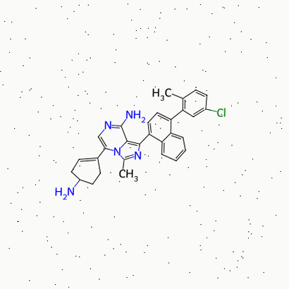 Cc1[c]cc(Cl)cc1-c1ccc(-c2nc(C)n3c(C4=CCC(N)CC4)cnc(N)c23)c2ccccc12